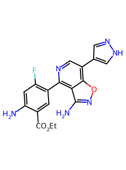 CCOC(=O)c1cc(-c2ncc(-c3cn[nH]c3)c3onc(N)c23)c(F)cc1N